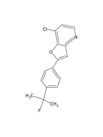 CC(C)(F)c1ccc(-c2cc3nccc(Cl)c3o2)cc1